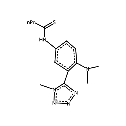 CCCC(=S)Nc1ccc(N(C)C)c(-c2nnnn2C)c1